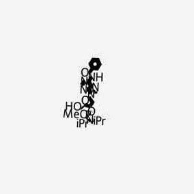 COP(OC1C[C@H](n2cnc3c(NC(=O)c4ccccc4)ncnc32)O[C@@H]1CO)N(C(C)C)C(C)C